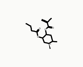 C=C(C)C(=O)OC1CC(C)[C@@H](C)CC1OC(=O)CCC